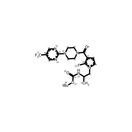 CC(Cn1ccc(C(=O)N2CCN(c3ncc(C(F)(F)F)cn3)CC2)c1F)NC(=O)OC(C)(C)C